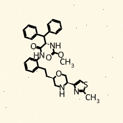 COC(=O)N[C@H](C(=O)Nc1ccccc1CC[C@@H]1CN[C@H](c2csc(C)n2)CO1)C(c1ccccc1)c1ccccc1